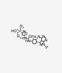 CC(C)(CO)c1cc(NC(=O)Nc2ccc(-c3nn(C4CC4)c4ncnc(N)c34)cc2F)on1